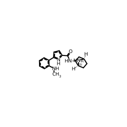 CNc1ccccc1-c1ccc(C(=O)N[C@@H]2C[C@H]3CC[C@@H]2N3)[nH]1